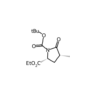 CCOC(=O)[C@H]1C[C@@H](C)C(=O)N1C(=O)OC(C)(C)C